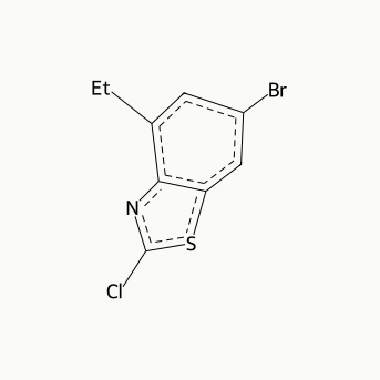 CCc1cc(Br)cc2sc(Cl)nc12